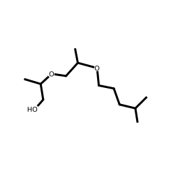 CC(C)CCCOC(C)COC(C)CO